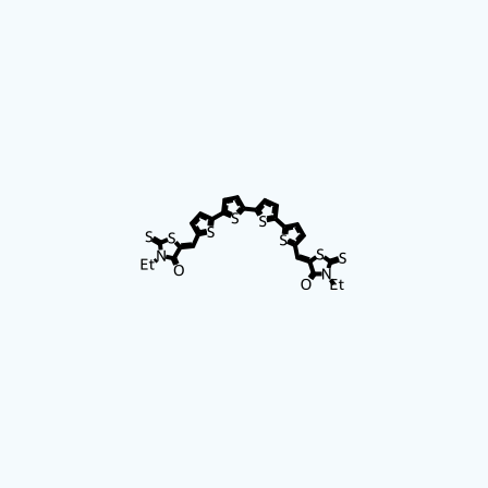 CCN1C(=O)/C(=C/c2ccc(-c3ccc(-c4ccc(-c5ccc(/C=C6\SC(=S)N(CC)C6=O)s5)s4)s3)s2)SC1=S